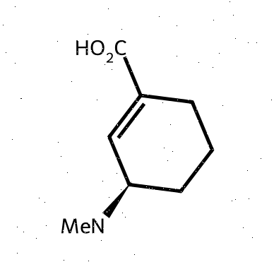 CN[C@H]1C=C(C(=O)O)CCC1